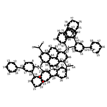 CC(C)c1cc(N(c2ccc(-c3ccccc3)cc2-c2ccccc2)c2cccc3c2oc2ccccc23)c2ccc3c(C(C)C)cc(N(c4ccc(-c5ccccc5)cc4-c4ccccc4)c4cccc5c4oc4ccccc45)c4ccc1c2c34